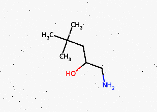 CC(C)(C)CC(O)CN